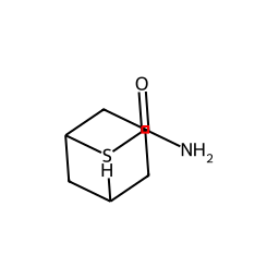 NC(=O)[SH]1C2CCCC1C2